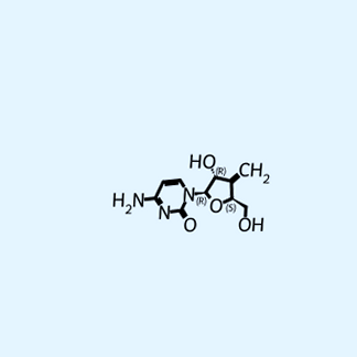 C=C1[C@@H](O)[C@H](n2ccc(N)nc2=O)O[C@@H]1CO